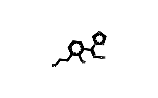 CC(C)CCc1cccc(C(=NO)n2cncn2)c1C(C)C